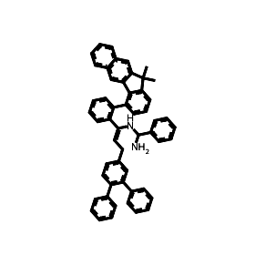 CC1(C)c2cc3ccccc3cc2-c2c(-c3ccccc3/C(=C/Cc3ccc(-c4ccccc4)c(-c4ccccc4)c3)NC(N)c3ccccc3)cccc21